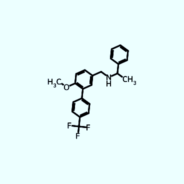 COc1ccc(CNC(C)c2ccccc2)cc1-c1ccc(C(F)(F)F)cc1